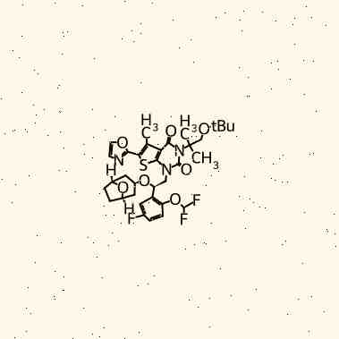 Cc1c(-c2ncco2)sc2c1c(=O)n(C(C)(C)COC(C)(C)C)c(=O)n2C[C@H](O[C@@H]1C[C@H]2CC[C@@H](C1)O2)c1cc(F)ccc1OC(F)F